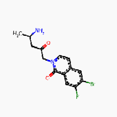 CC(N)CC(=O)Cn1ccc2cc(Br)c(F)cc2c1=O